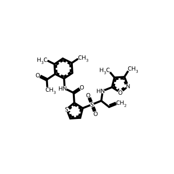 C=CC(Nc1onc(C)c1C)S(=O)(=O)c1ccsc1C(=O)Nc1cc(C)cc(C)c1C(C)=O